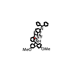 COc1ccc(C(NC2=N[C@@](c3cc(N=C(c4ccccc4)c4ccccc4)ccc3F)(C(F)F)[C@@H](F)CO2)(c2ccccc2)c2ccc(OC)cc2)cc1